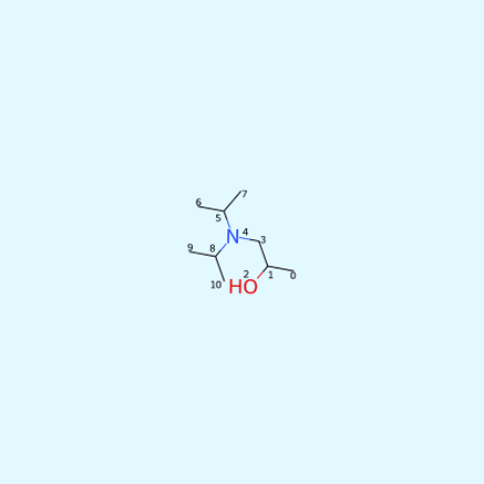 CC(O)CN(C(C)C)C(C)C